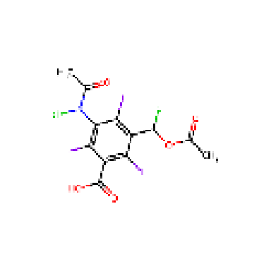 CC(=O)OC(Cl)c1c(I)c(C(=O)O)c(I)c(N(Cl)C(C)=O)c1I